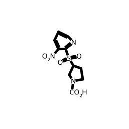 O=C(O)N1CCC(S(=O)(=O)c2ncccc2[N+](=O)[O-])C1